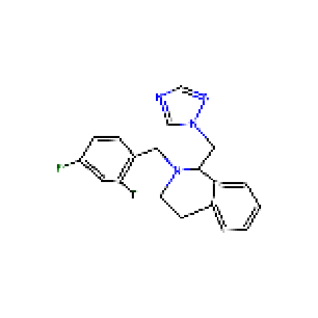 Fc1ccc(CN2CCc3ccccc3C2Cn2cncn2)c(F)c1